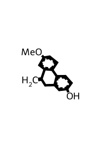 C=C1Cc2cc(O)ccc2-c2ccc(OC)cc21